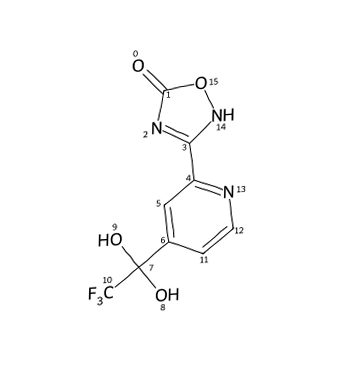 O=c1nc(-c2cc(C(O)(O)C(F)(F)F)ccn2)[nH]o1